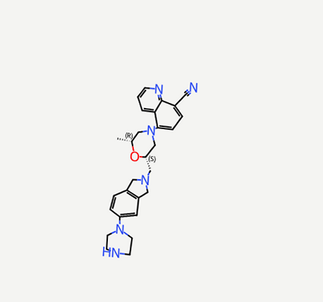 C[C@@H]1CN(c2ccc(C#N)c3ncccc23)C[C@H](CN2Cc3ccc(N4CCNCC4)cc3C2)O1